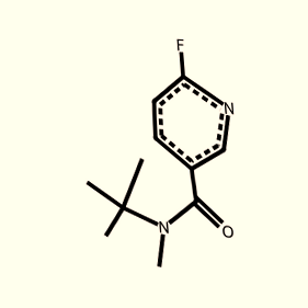 CN(C(=O)c1ccc(F)nc1)C(C)(C)C